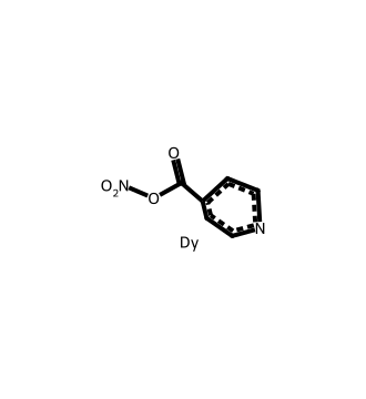 O=C(O[N+](=O)[O-])c1ccncc1.[Dy]